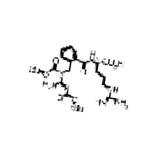 CC(C)(C)OC(=O)N=C(N)N(Cc1ccccc1C(=O)N[C@@H](CCCNC(=N)N)C(=O)O)C(=O)OC(C)(C)C